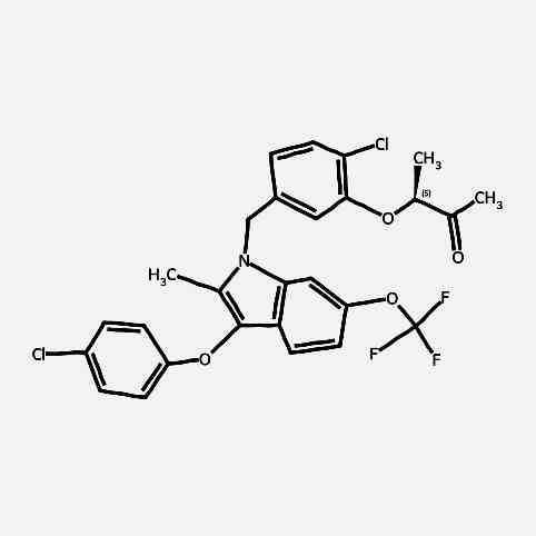 CC(=O)[C@H](C)Oc1cc(Cn2c(C)c(Oc3ccc(Cl)cc3)c3ccc(OC(F)(F)F)cc32)ccc1Cl